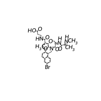 CN[C@@H](C)C(=O)N[C@H]1COc2c(C(=O)NCCC(=O)O)cccc2N(Cc2c(OC)ccc3cc(Br)ccc23)C1=O